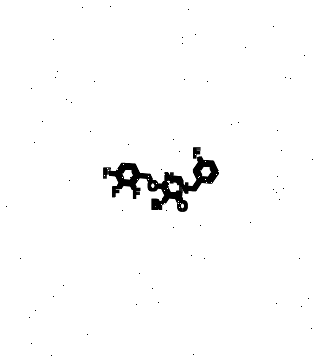 O=c1c(Br)c(OCc2ccc(F)c(F)c2F)ncn1Cc1cccc(F)c1